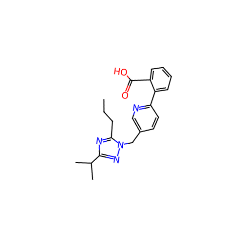 CCCc1nc(C(C)C)nn1Cc1ccc(-c2ccccc2C(=O)O)nc1